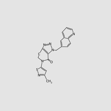 Cc1cc(N2CCc3nnn(Cc4ccc5ncccc5c4)c3C2=O)sn1